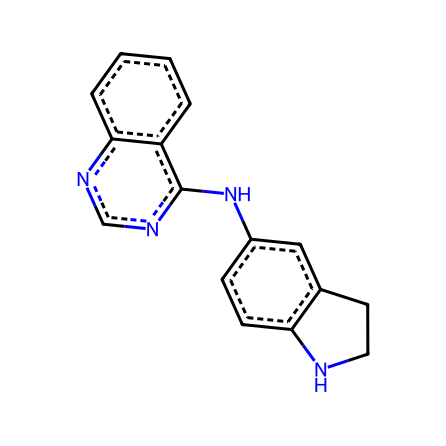 c1ccc2c(Nc3ccc4c(c3)CCN4)ncnc2c1